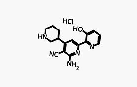 Cl.N#Cc1c(C2CCCNC2)cc(-c2ncccc2O)nc1N